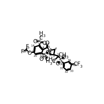 CC(C)(C1CN(C(=O)c2c(S(C)(=O)=O)cc(OC(F)F)cc2S(C)(=O)=O)C1)S(=O)(=O)c1cccc(C(F)(F)F)c1